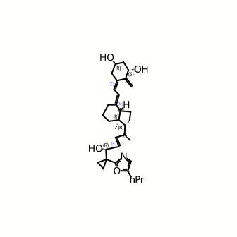 C=C1/C(=C\C=C2/CCC[C@]3(C)[C@@H]([C@@H](C)/C=C/[C@@H](O)C4(c5ncc(CCC)o5)CC4)CC[C@@H]23)C[C@@H](O)C[C@@H]1O